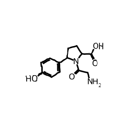 NCC(=O)N1C(C(=O)O)CCC1c1ccc(O)cc1